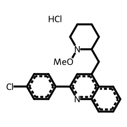 CON1CCCCC1Cc1cc(-c2ccc(Cl)cc2)nc2ccccc12.Cl